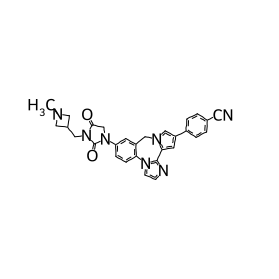 CN1CC(CN2C(=O)CN(c3ccc4c(c3)Cn3cc(-c5ccc(C#N)cc5)cc3-c3nccn3-4)C2=O)C1